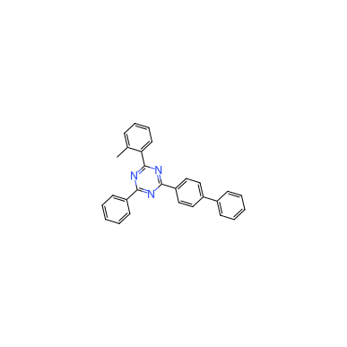 Cc1ccccc1-c1nc(-c2ccccc2)nc(-c2ccc(-c3ccccc3)cc2)n1